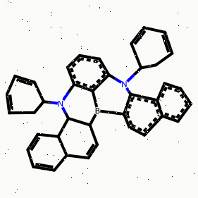 C1=CCC(N2c3cccc4c3B(c3ccc5ccccc5c32)C2C=CC3C=CC=CC3C2N4C2C=CC=CC2)C=C1